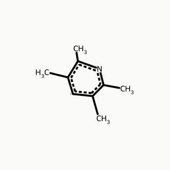 Cc1[c]c(C)c(C)nc1C